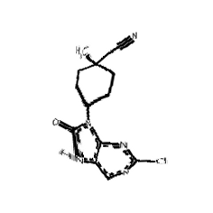 CC1(C#N)CCC(n2c(=O)[nH]c3cnc(Cl)nc32)CC1